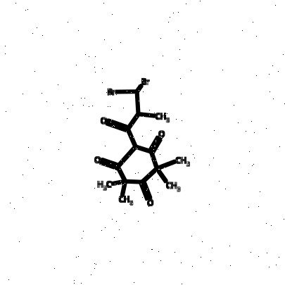 CC(C(=O)C1C(=O)C(C)(C)C(=O)C(C)(C)C1=O)C(Br)Br